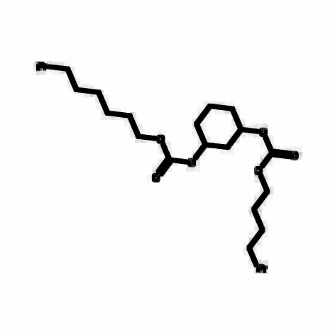 CC(C)CCCCCCOC(=O)OC1CCCC(OC(=O)OCCCCC(C)C)C1